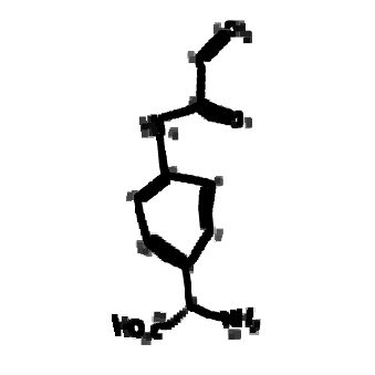 C=CC(=O)Nc1ccc([C@H](N)C(=O)O)cc1